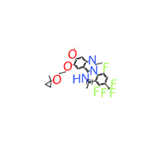 COc1cc2nc(C)nc(N[C@H](C)c3cc(F)cc(C(F)(F)F)c3F)c2cc1OCCOC1(C)CC1